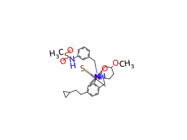 COC1CCC2(CC1)Cc1ccc(CCC3CC3)cc1C21NC(=S)N(Cc2cccc(NS(C)(=O)=O)c2)C1=O